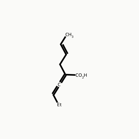 CC=CCC(=C=CCC)C(=O)O